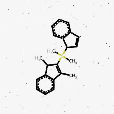 CC1=C(S(C)(C)C2C=Cc3ccccc32)C(C)c2ccccc21